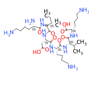 CC[C@H](C)[C@H](NC(=O)[C@@H](N)CCCCN)C(=O)N[C@@H](CC(=O)O)C(=O)N[C@@H](CCCCN)C(=O)N[C@H](C(=O)N[C@@H](CCCCN)C(=O)O)C(C)C